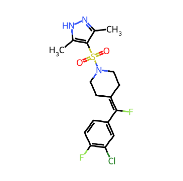 Cc1n[nH]c(C)c1S(=O)(=O)N1CCC(=C(F)c2ccc(F)c(Cl)c2)CC1